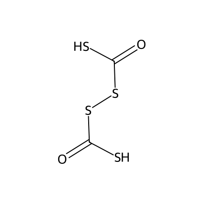 O=C(S)SSC(=O)S